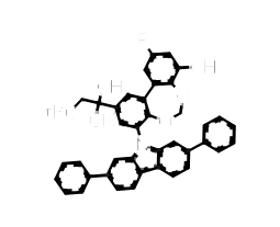 Cc1cc(F)cc2c1OCOc1c-2cc(C(C)(C)CC(C)(C)C)cc1-n1c2cc(-c3ccccc3)ccc2c2ccc(-c3ccccc3)cc21